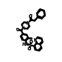 O=C(CC1=CCCC=C1)N1CCN(C(=O)c2ccc(NS(=O)(=O)c3cccc4cccnc34)c(F)c2)CC1